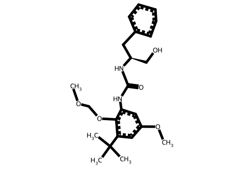 COCOc1c(NC(=O)N[C@H](CO)Cc2ccccc2)cc(OC)cc1C(C)(C)C